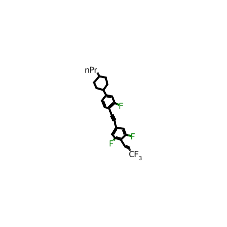 CCCC1CCC(c2ccc(C#Cc3cc(F)c(/C=C/C(F)(F)F)c(F)c3)c(F)c2)CC1